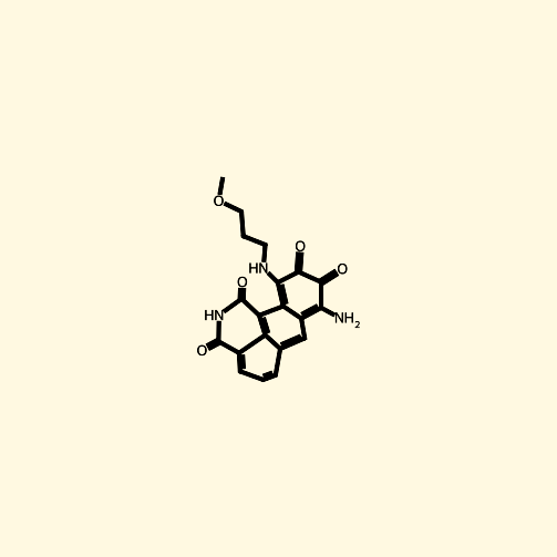 COCCCNC1=c2c3c4c(cccc4cc2=C(N)C(=O)C1=O)C(=O)NC3=O